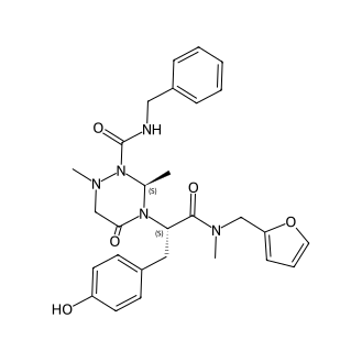 C[C@H]1N([C@@H](Cc2ccc(O)cc2)C(=O)N(C)Cc2ccco2)C(=O)CN(C)N1C(=O)NCc1ccccc1